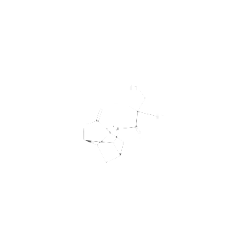 CC(C)CC(C)(C(=O)OC1C2CC3C1OC(=O)C3(C#N)C2)C(C)C